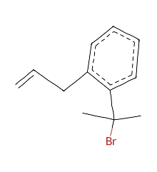 C=CCc1ccccc1C(C)(C)Br